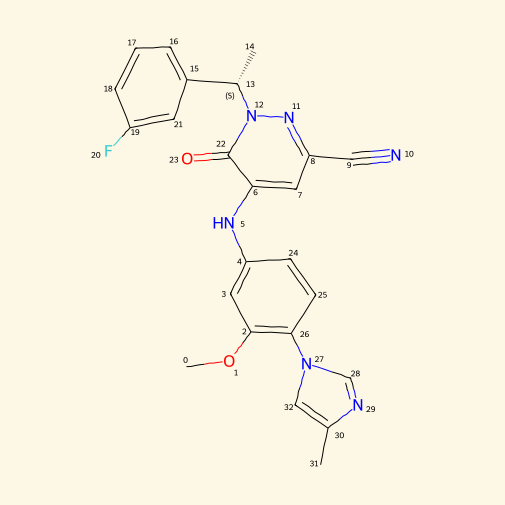 COc1cc(Nc2cc(C#N)nn([C@@H](C)c3cccc(F)c3)c2=O)ccc1-n1cnc(C)c1